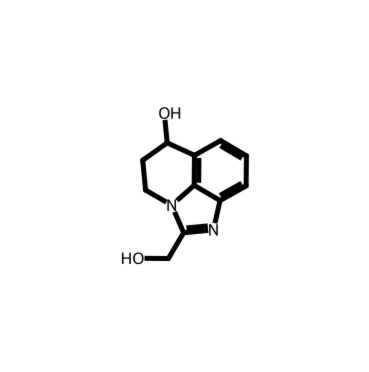 OCc1nc2cccc3c2n1CCC3O